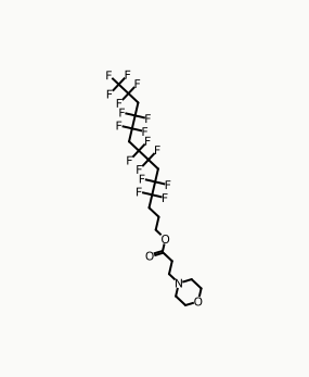 O=C(CCN1CCOCC1)OCCCC(F)(F)C(F)(F)CC(F)(F)C(F)(F)CC(F)(F)C(F)(F)CC(F)(F)C(F)(F)F